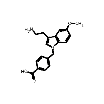 COc1ccc2c(c1)c(CCN)cn2Cc1ccc(C(=O)O)cc1